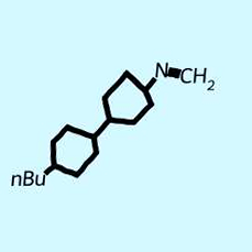 C=NC1CCC(C2CCC(CCCC)CC2)CC1